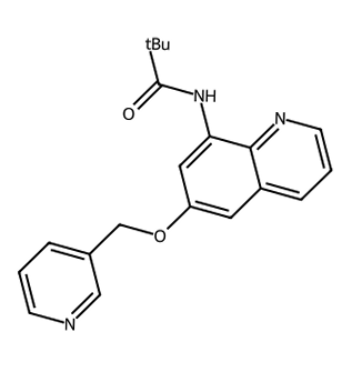 CC(C)(C)C(=O)Nc1cc(OCc2cccnc2)cc2cccnc12